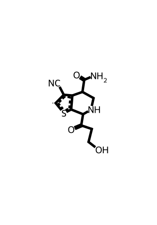 N#Cc1[c]sc2c1C(C(N)=O)CNC2C(=O)CCO